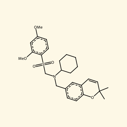 COc1ccc(S(=O)(=O)CN(Cc2ccc3c(c2)C=CC(C)(C)O3)C2CCCCC2)c(OC)c1